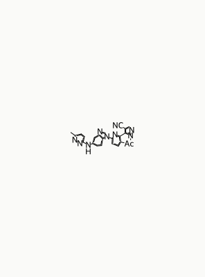 CC(=O)c1ccc(-n2cnc3cc(Nc4ccc(C)nn4)ccc32)nc1-c1c(C#N)cnn1C